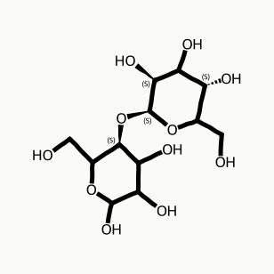 OCC1O[C@@H](O[C@@H]2C(CO)OC(O)C(O)C2O)[C@@H](O)C(O)[C@@H]1O